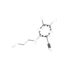 COCCNc1nc(Br)c(Cl)nc1C#N